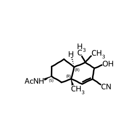 CC(=O)N[C@H]1CC[C@H]2C(C)(C)C(O)C(C#N)=C[C@]2(C)C1